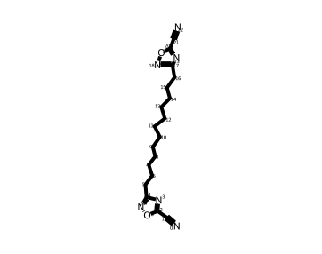 N#Cc1nc(CCCCCCCCCCCCc2noc(C#N)n2)no1